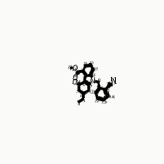 CCC1CC(=O)c2c(n(Cc3ccccc3C#N)c3cccc(C(=O)OC)c23)C1